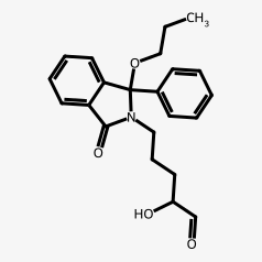 CCCOC1(c2ccccc2)c2ccccc2C(=O)N1CCCC(O)C=O